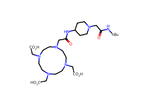 CCCCNC(=O)CN1CCC(NC(=O)CN2CCN(CC(=O)O)CCN(CC(=O)O)CCN(CC(=O)O)CC2)CC1